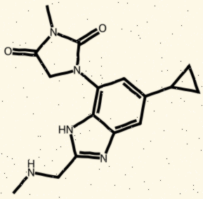 CNCc1nc2cc(C3CC3)cc(N3CC(=O)N(C)C3=O)c2[nH]1